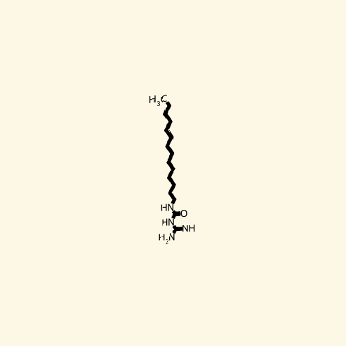 CCCCCCCCCCCCCCNC(=O)NC(=N)N